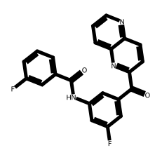 O=C(Nc1cc(F)cc(C(=O)c2ccc3ncccc3n2)c1)c1cccc(F)c1